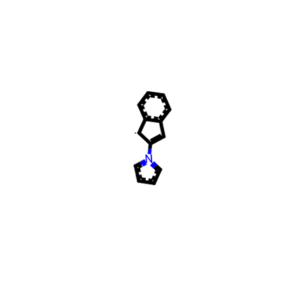 [CH]1C(n2cccc2)=Cc2ccccc21